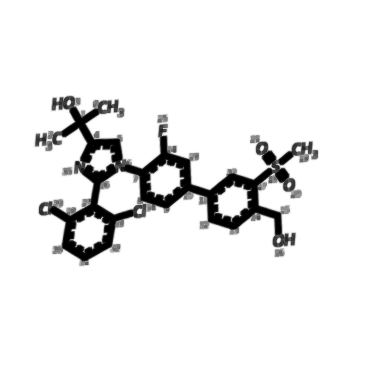 CC(C)(O)c1cn(-c2ccc(-c3ccc(CO)c(S(C)(=O)=O)c3)cc2F)c(-c2c(Cl)cccc2Cl)n1